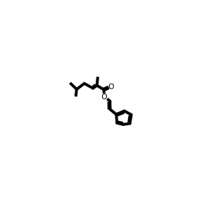 CC(=CCC(C)C)C(=O)OC=Cc1ccccc1